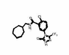 O=C(NCC1CCCCCC1)c1cc(-n2c(C(F)(F)F)n[nH]c2=O)ccc1Cl